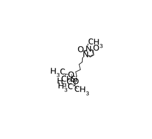 CCn1c(=O)ccn(CCCCCC[Si](C)(OC(C)C)OC(C)C)c1=O